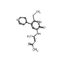 CCc1[nH]c(=O)c(N/C(C)=C/C(C)=O)cc1-c1ccncc1